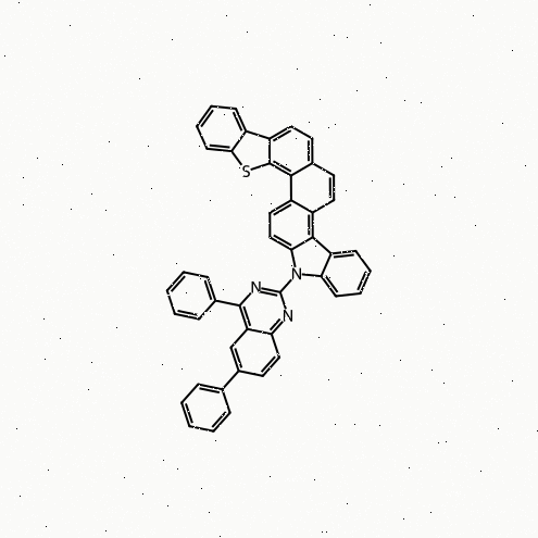 c1ccc(-c2ccc3nc(-n4c5ccccc5c5c6ccc7ccc8c9ccccc9sc8c7c6ccc54)nc(-c4ccccc4)c3c2)cc1